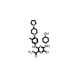 CCc1nc(C(N)=O)c(Nc2ccc(N3CCC(N4CCCC4)CC3)c(C)c2)nc1N[C@H]1CC[C@H](O)CC1